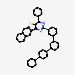 c1ccc(-c2ccc(-c3cccc(-c4cccc(-c5nc(-c6ccccc6)c6sc7cc8ccccc8cc7c6n5)c4)c3)cc2)cc1